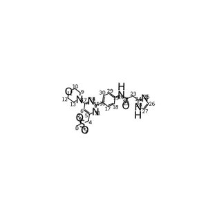 CS(=O)(=O)Cc1cc(N2CCOCC2)nc(-c2ccc(NC(=O)Cc3ncc[nH]3)cc2)n1